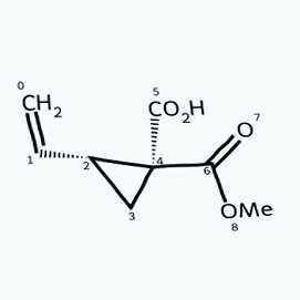 C=C[C@H]1C[C@]1(C(=O)O)C(=O)OC